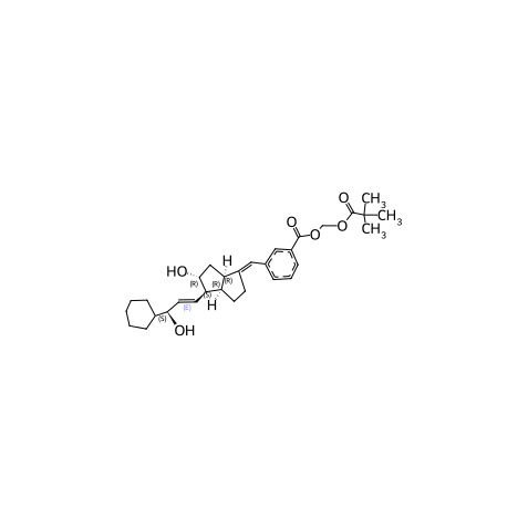 CC(C)(C)C(=O)OCOC(=O)c1cccc(C=C2CC[C@H]3[C@@H](/C=C/[C@@H](O)C4CCCCC4)[C@H](O)C[C@@H]23)c1